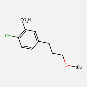 CC(C)(C)OCCCc1ccc(Cl)c(C(=O)O)c1